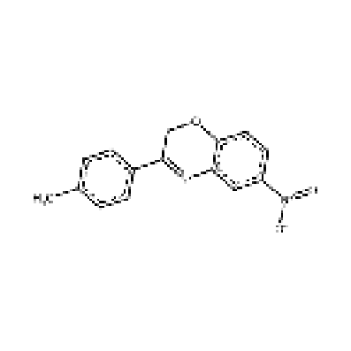 Cc1ccc(C2=Nc3cc([N+](=O)[O-])ccc3OC2)cc1